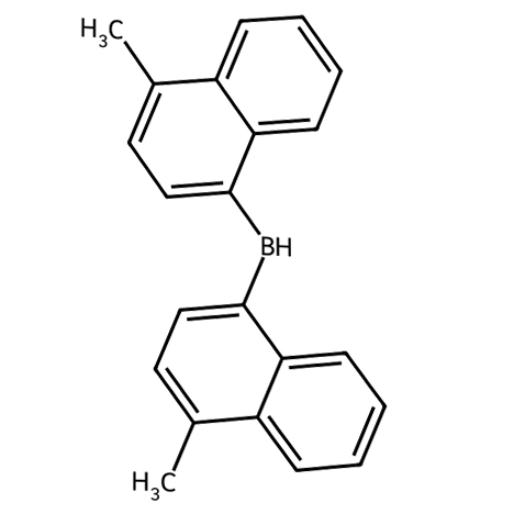 Cc1ccc(Bc2ccc(C)c3ccccc23)c2ccccc12